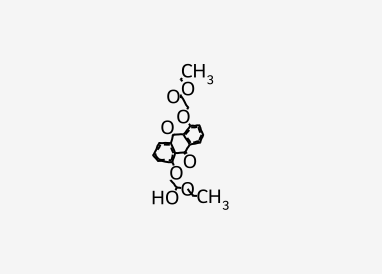 CCOC(=O)COc1cccc2c1C(=O)c1cccc(OCC(O)OCC)c1C2=O